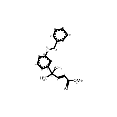 COC(=O)/C=C/C(C)(C)c1cccc(OCc2ccccc2)c1